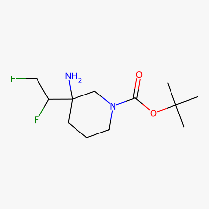 CC(C)(C)OC(=O)N1CCCC(N)(C(F)CF)C1